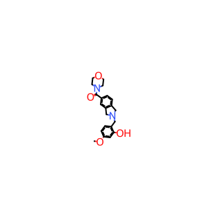 COc1ccc(CN2Cc3ccc(C(=O)N4CCOCC4)cc3C2)c(O)c1